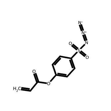 C=CC(=O)Oc1ccc(S(=O)(=O)N=[N+]=[N-])cc1